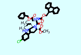 COC(=O)[C@@H]1Cc2c([nH]c3cc(Cl)ccc23)[C@H](CC(C)C)N1C(=O)[C@H](CC(=O)OCc1ccccc1)NC(=O)OCC1c2ccccc2-c2ccccc21